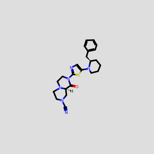 N#CN1CCN2CCN(c3ncc(N4CCCC[C@@H]4Cc4ccccc4)s3)C(=O)[C@H]2C1